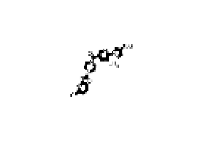 Cc1cc(C(=O)N2CCN(c3nc4nc(Cl)ccc4o3)CC2)cnc1-n1cc(C(C)(C)C)cn1